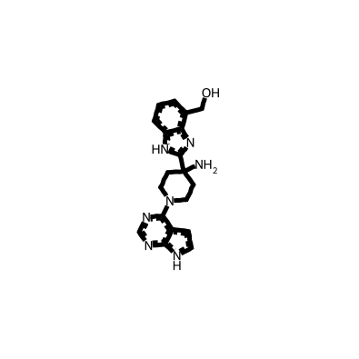 NC1(c2nc3c(CO)cccc3[nH]2)CCN(c2ncnc3[nH]ccc23)CC1